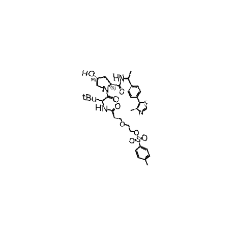 Cc1ccc(S(=O)(=O)OCCOCCC(=O)NC(C(=O)N2C[C@H](O)C[C@H]2C(=O)NC(C)c2ccc(-c3scnc3C)cc2)C(C)(C)C)cc1